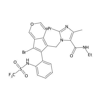 CCCc1nc(C)c(C(=O)NCC)n1Cc1c2ccocc-2c(Br)c1-c1ccccc1NS(=O)(=O)C(F)(F)F